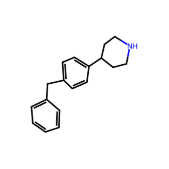 c1ccc(Cc2ccc(C3CCNCC3)cc2)cc1